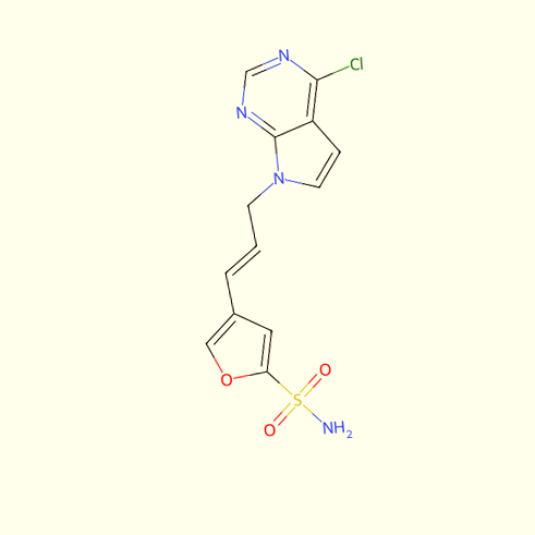 NS(=O)(=O)c1cc(/C=C/Cn2ccc3c(Cl)ncnc32)co1